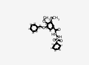 COc1cc(C(=O)NNS(=O)(=O)c2ccccc2)cc(OCc2ccccc2)c1OC